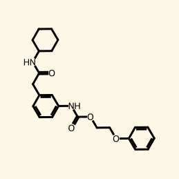 O=C(Cc1cccc(NC(=O)OCCOc2ccccc2)c1)NC1CCCCC1